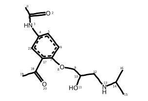 CC(=O)Nc1ccc(OCC(O)CNC(C)C)c(C(C)=O)c1